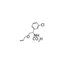 C=CCOCC(NC(=O)O)c1cccc(Cl)c1